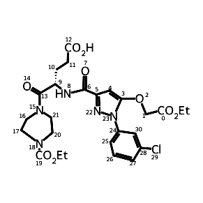 CCOC(=O)COc1cc(C(=O)N[C@@H](CCC(=O)O)C(=O)N2CCN(C(=O)OCC)CC2)nn1-c1cccc(Cl)c1